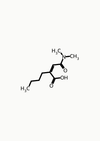 CCCCC(=CC(=O)N(C)C)C(=O)O